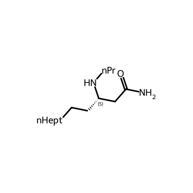 CCCCCCCCC[C@@H](CC(N)=O)NCCC